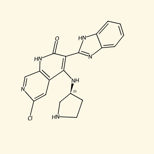 O=c1[nH]c2cnc(Cl)cc2c(N[C@H]2CCNC2)c1-c1nc2ccccc2[nH]1